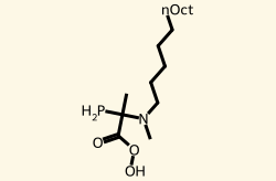 CCCCCCCCCCCCCN(C)C(C)(P)C(=O)OO